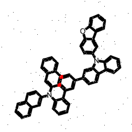 c1cc(-c2ccc3c4ccccc4n(-c4ccc5oc6ccccc6c5c4)c3c2)cc(-c2ccccc2N(c2ccc3ccccc3c2)c2ccc3ccccc3c2)c1